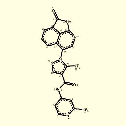 O=C(Nc1ccnc(C(F)(F)F)c1)c1cnn(-c2cnc3c4c(cccc24)C(=O)N3)c1C(F)(F)F